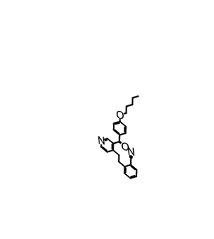 CCCCCOc1ccc(C(=O)c2cnccc2CCc2ccccc2C#N)cc1